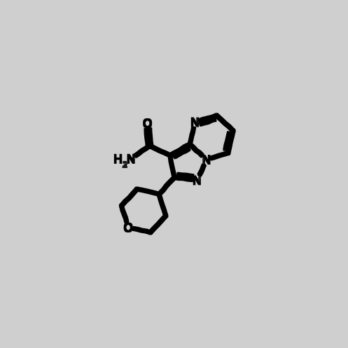 NC(=O)c1c(C2CCOCC2)nn2cccnc12